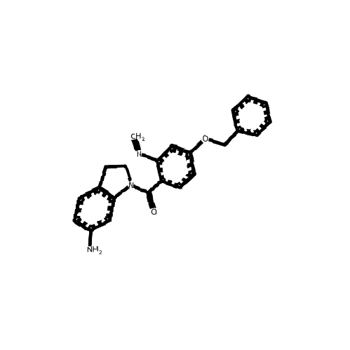 C=Nc1cc(OCc2ccccc2)ccc1C(=O)N1CCc2ccc(N)cc21